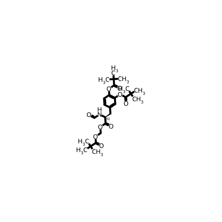 CC(C)(C)C(=O)OCOC(=O)[C@H](Cc1ccc(OC(=O)C(C)(C)C)c(OC(=O)C(C)(C)C)c1)NC=O